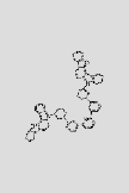 c1cc(-c2cccc(-n3c4ccccc4c4c5oc6ccccc6c5ccc43)c2)cc(-c2cccc(-c3cccc(-c4cccc(-n5c6ccccc6c6c7oc8ccccc8c7ccc65)c4)c3)n2)c1